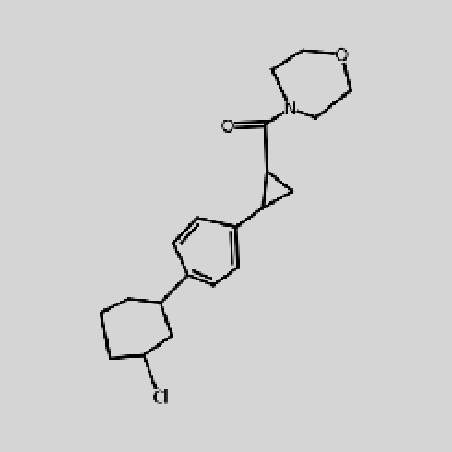 O=C(C1CC1c1ccc(C2CCCC(Cl)C2)cc1)N1CCOCC1